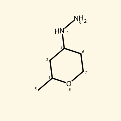 CC1CC(NN)CCO1